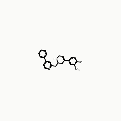 FC(F)(F)c1cc(C2=CCNC(Cc3cc(-c4ccccc4)ccn3)C2)ccc1Cl